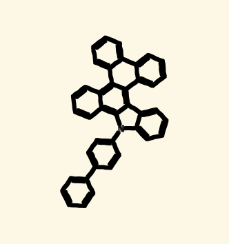 c1ccc(-c2ccc(-n3c4ccccc4c4c5c6ccccc6c6ccccc6c5c5ccccc5c43)cc2)cc1